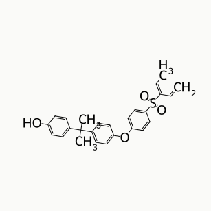 C=C/C(=C\C)S(=O)(=O)c1ccc(Oc2ccc(C(C)(C)c3ccc(O)cc3)cc2)cc1